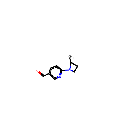 CC1CCN1c1ccc(C=O)cn1